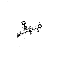 O=C(CNC(=O)c1ccccc1)N[C@@H](CCCSCC(=O)C(F)(F)F)C(=O)NCC(O)c1ccccc1